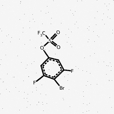 O=S(=O)(Oc1cc(F)c(Br)c(F)c1)C(F)(F)F